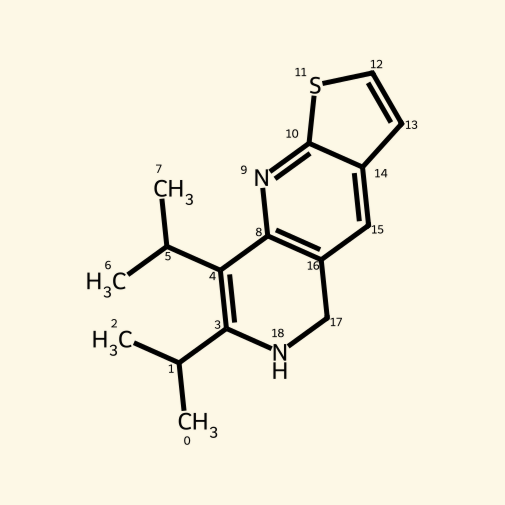 CC(C)C1=C(C(C)C)c2nc3sccc3cc2CN1